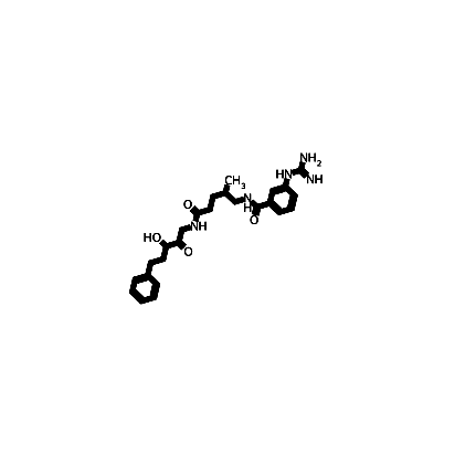 CC(CCC(=O)NCC(=O)C(O)CCc1ccccc1)CNC(=O)c1cccc(NC(=N)N)c1